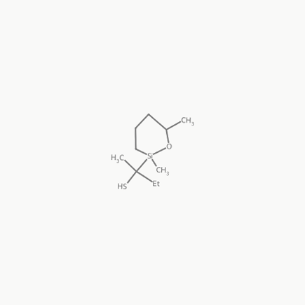 CCC(C)(S)[Si]1(C)CCCC(C)O1